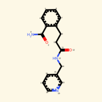 NC(=O)c1ccccc1[CH]CC(=O)NCc1cccnc1